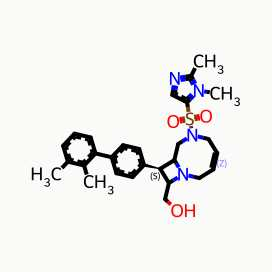 Cc1cccc(-c2ccc([C@@H]3C(CO)N4C/C=C\CN(S(=O)(=O)c5cnc(C)n5C)CC34)cc2)c1C